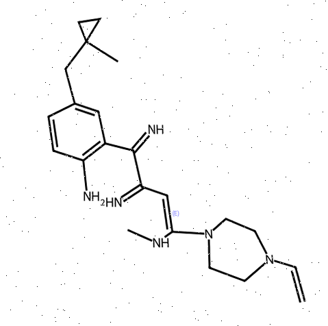 C=CN1CCN(/C(=C/C(=N)C(=N)c2cc(CC3(C)CC3)ccc2N)NC)CC1